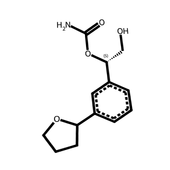 NC(=O)O[C@H](CO)c1cccc(C2CCCO2)c1